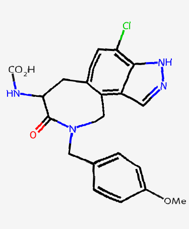 COc1ccc(CN2Cc3c(cc(Cl)c4[nH]ncc34)CC(NC(=O)O)C2=O)cc1